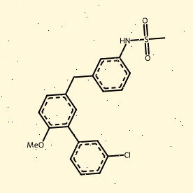 COc1ccc(Cc2cccc(NS(C)(=O)=O)c2)cc1-c1cccc(Cl)c1